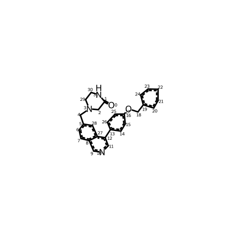 O=C1CN(Cc2ccc3cncc(-c4ccc(OCc5ccccc5)cc4)c3c2)CCN1